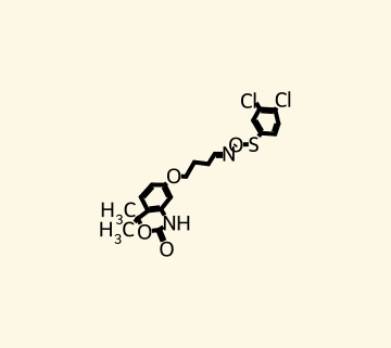 CC1(C)OC(=O)Nc2cc(OCCCC=NOSc3ccc(Cl)c(Cl)c3)ccc21